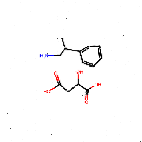 CC(CN)c1ccccc1.O=C(O)CC(O)C(=O)O